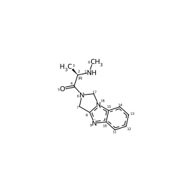 CN[C@H](C)C(=O)N1Cc2nc3ccccc3n2C1